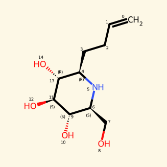 C=CCC[C@H]1N[C@@H](CO)[C@H](O)[C@@H](O)[C@@H]1O